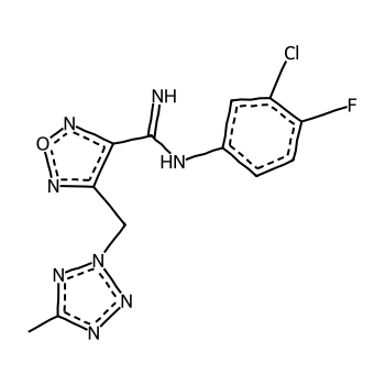 Cc1nnn(Cc2nonc2C(=N)Nc2ccc(F)c(Cl)c2)n1